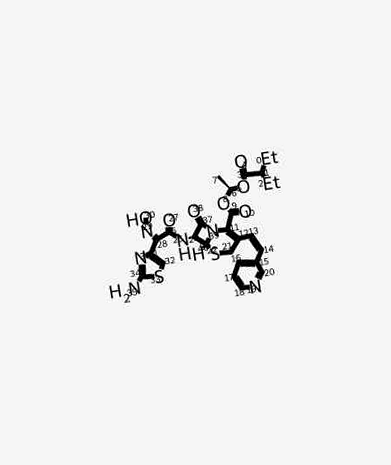 CCC(CC)C(=O)O[C@H](C)OC(=O)C1=C(/C=C\c2cccnc2)CS[C@@H]2[C@H](NC(=O)/C(=N\O)c3csc(N)n3)C(=O)N12